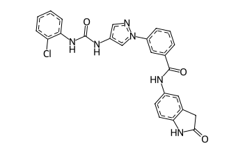 O=C1Cc2cc(NC(=O)c3cccc(-n4cc(NC(=O)Nc5ccccc5Cl)cn4)c3)ccc2N1